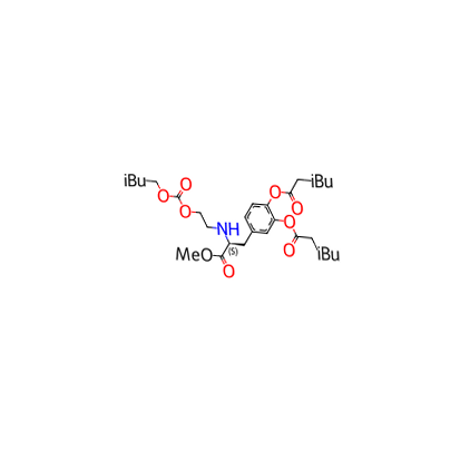 CCC(C)COC(=O)OCCN[C@@H](Cc1ccc(OC(=O)CC(C)CC)c(OC(=O)CC(C)CC)c1)C(=O)OC